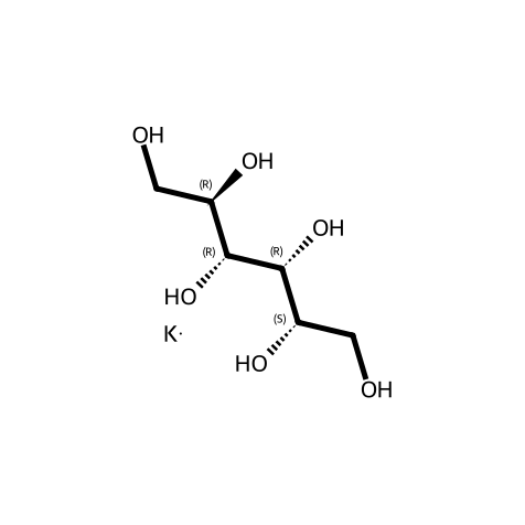 OC[C@@H](O)[C@@H](O)[C@H](O)[C@@H](O)CO.[K]